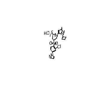 Cc1cc(N2C[C@H](S(=O)(=O)c3ccc(-n4cccn4)cc3Cl)C[C@H]2C(=O)O)n(C2CCC2)n1